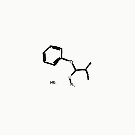 Br.CC(C)C(OP)Oc1ccccc1